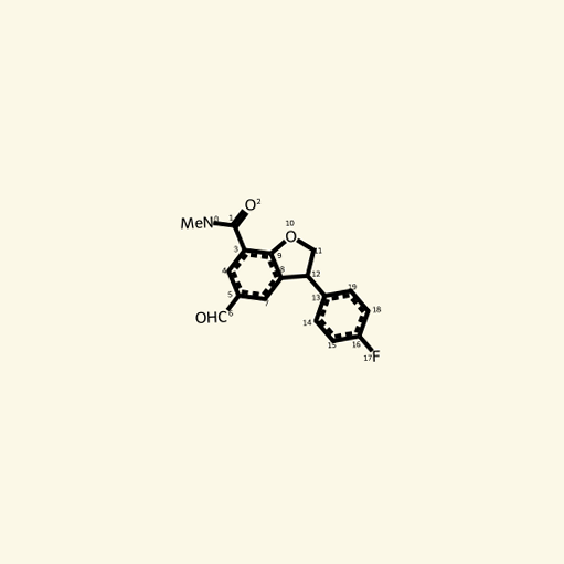 CNC(=O)c1cc(C=O)cc2c1OCC2c1ccc(F)cc1